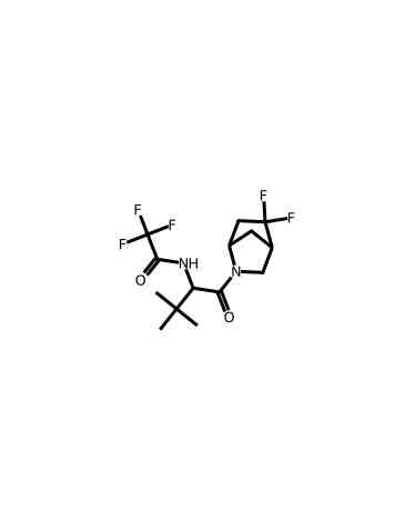 CC(C)(C)C(NC(=O)C(F)(F)F)C(=O)N1CC2CC1CC2(F)F